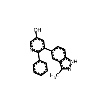 Cc1n[nH]c2ccc(-c3cc(O)cnc3-c3ccccc3)cc12